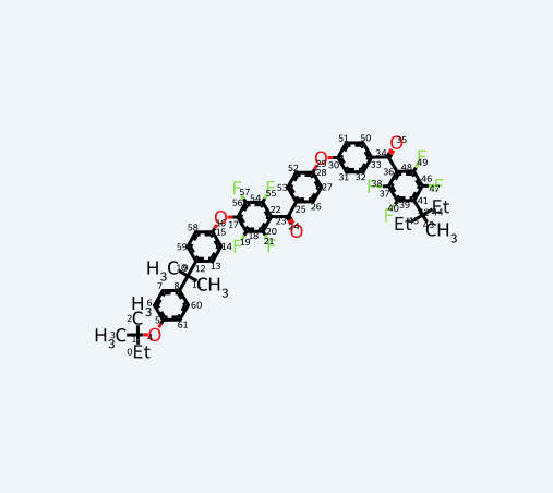 CCC(C)(C)Oc1ccc(C(C)(C)c2ccc(Oc3c(F)c(F)c(C(=O)c4ccc(Oc5ccc(C(=O)c6c(F)c(F)c(C(C)(CC)CC)c(F)c6F)cc5)cc4)c(F)c3F)cc2)cc1